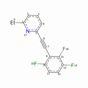 CCc1cccc(C#Cc2c(F)ccc(F)c2F)n1